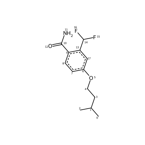 CC(C)CCOc1ccc(C(N)=O)c(C(F)F)c1